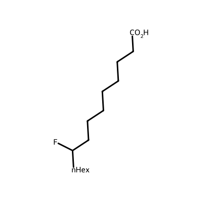 CCCCCCC(F)CCCCCCCC(=O)O